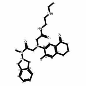 CCNCCNC(=O)CN(CC(=O)N(C)N1Cc2ccccc2C1)c1cc2c(cc1C)CCCC2=O